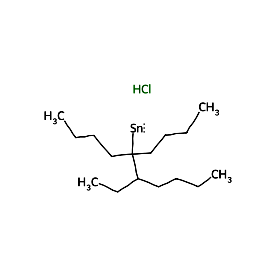 CCCCC(CC)[C]([Sn])(CCCC)CCCC.Cl